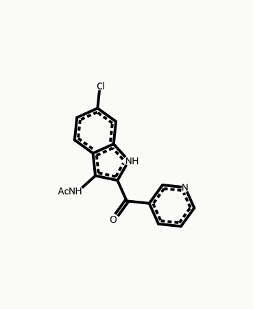 CC(=O)Nc1c(C(=O)c2cccnc2)[nH]c2cc(Cl)ccc12